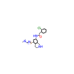 CN(C)/C=N/Sc1cc(NC(=O)Cc2ccccc2Cl)cc2c1CCNC2